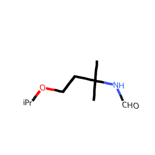 CC(C)OCCC(C)(C)NC=O